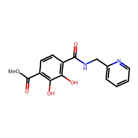 COC(=O)c1ccc(C(=O)NCc2ccccn2)c(O)c1O